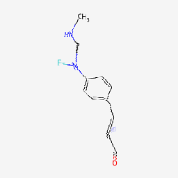 CNCN(F)c1ccc(/C=C/C=O)cc1